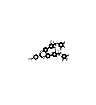 CCC[C@H]1CC[C@H](C2COc3ccc(-c4cc(F)c(C(F)(F)Oc5cc(F)c(F)c(F)c5)c(F)c4)cc3-c3cc(-c4cc(F)c(C(F)(F)Oc5cc(F)c(F)c(F)c5)c(F)c4)ccc3OC2)CC1